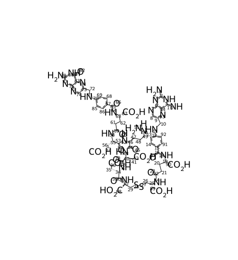 N=c1[nH]c(N)nc2ncc(CNc3ccc(C(=O)N[C@@H](CCC(=O)N[C@@H](CSSC[C@H](NC(=O)[C@H](CC(=O)O)NC(=O)[C@H](CC(=O)O)NC(=O)[C@H](CCCNN)NC(=O)[C@H](CC(=O)O)NC(=O)CC[C@H](NC(=O)c4ccc(NCc5cnc6nc(N)[nH]c(=O)c6n5)cc4)C(=O)O)C(=O)O)C(=O)O)C(=O)O)cc3)nc12